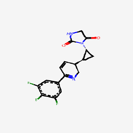 O=C1CNC(=O)N1[C@@H]1C[C@H]1C1C=CC(c2cc(F)c(F)c(F)c2)=NC1